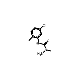 Cc1ccc(Cl)cc1NC(=O)N(C)N